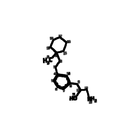 CC1(CCc2cccc(CC(O)CN)c2)CCCCC1